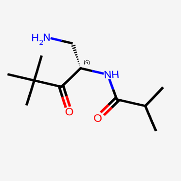 CC(C)C(=O)N[C@@H](CN)C(=O)C(C)(C)C